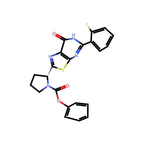 O=C(Oc1ccccc1)N1CCC[C@@H]1c1nc2c(=O)[nH]c(-c3ccccc3F)nc2s1